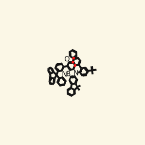 CC(C)(C)c1ccc(N2c3cc4c(cc3B3c5c2cc2c(oc6ccccc62)c5-c2cccc5c2N3c2ccccc2C52c3ccccc3-c3ccccc32)-c2ccccc2C4(C)C)c(-c2ccccc2)c1